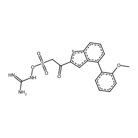 COc1ccccc1-c1cccc2sc(C(=O)CS(=O)(=O)ONC(=N)N)cc12